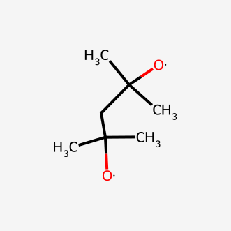 CC(C)([O])CC(C)(C)[O]